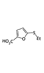 CCSc1ccc(C(=O)O)o1